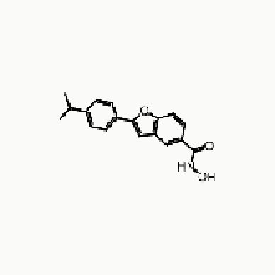 CC(C)c1ccc(-c2cc3cc(C(=O)NO)ccc3o2)cc1